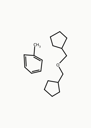 C1CCC(COCC2CCCC2)C1.Cc1ccccc1